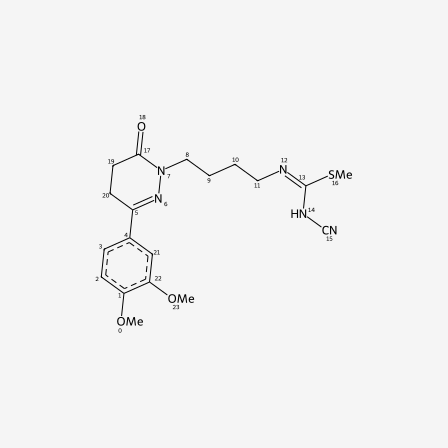 COc1ccc(C2=NN(CCCCN=C(NC#N)SC)C(=O)CC2)cc1OC